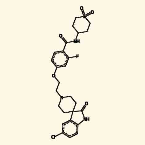 O=C(NC1CCS(=O)(=O)CC1)c1ccc(OCCN2CCC3(CC2)C(=O)Nc2ccc(Cl)cc23)cc1F